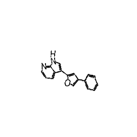 c1ccc(-c2coc(-c3c[nH]c4ncccc34)c2)cc1